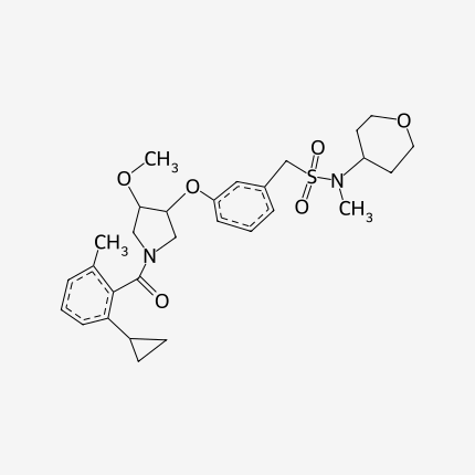 COC1CN(C(=O)c2c(C)cccc2C2CC2)CC1Oc1cccc(CS(=O)(=O)N(C)C2CCOCC2)c1